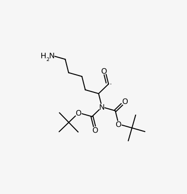 CC(C)(C)OC(=O)N(C(=O)OC(C)(C)C)C([C]=O)CCCCN